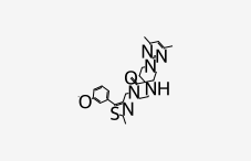 COc1cccc(-c2sc(C)nc2CN2CCNC3(CCN(c4nc(C)cc(C)n4)CC3)C2=O)c1